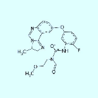 COCCN(C=O)[S+]([O-])Nc1cc(Oc2ccc3c(c2)C2=NCC(C)N2C=N3)ccc1F